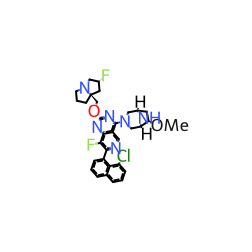 CO[C@@H]1C[C@@H]2CN(c3nc(OC[C@@]45CCCN4C[C@H](F)C5)nc4c(F)c(-c5cccc6cccc(Cl)c56)ncc34)C[C@H]1N2